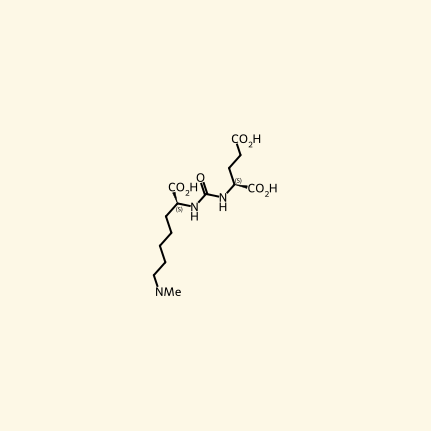 CNCCCCC[C@H](NC(=O)N[C@@H](CCC(=O)O)C(=O)O)C(=O)O